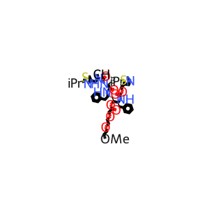 COCCOCCOCC(=O)O[C@@H](C[C@H](Cc1ccccc1)NC(=O)[C@@H](NC(=O)N(C)Cc1csc(C(C)C)n1)C(C)C)[C@H](Cc1ccccc1)NC(=O)OCc1cncs1